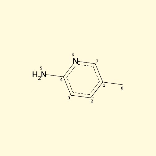 Cc1[c]cc(N)nc1